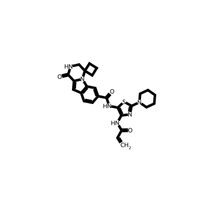 C=CC(=O)Nc1nc(N2CCCCC2)sc1NC(=O)c1ccc2cc3n(c2c1)C1(CCC1)CNC3=O